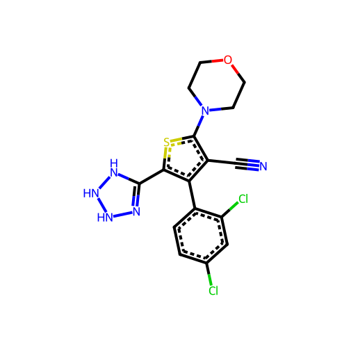 N#Cc1c(N2CCOCC2)sc(C2=NNNN2)c1-c1ccc(Cl)cc1Cl